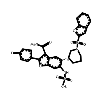 CNC(=O)c1c(-c2ccc(F)cc2)oc2cc(NS(C)(=O)=O)c([C@H]3CCCN(S(=O)(=O)c4cc5ccccc5o4)C3)cc12